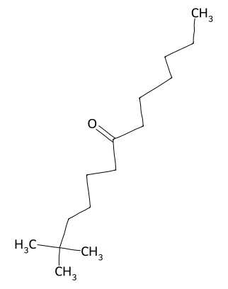 CCCCCCC(=O)CCCCC(C)(C)C